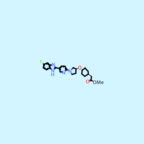 COC(=O)C[C@H]1CC[C@H](O[C@H]2CCN(c3ccc(-c4nc5cc(F)ccc5[nH]4)cn3)C2)CC1